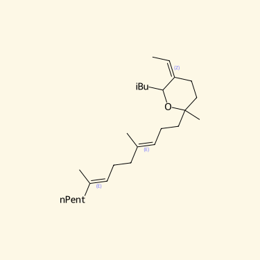 C/C=C1/CCC(C)(CC/C=C(\C)CC/C=C(\C)CCCCC)OC1C(C)CC